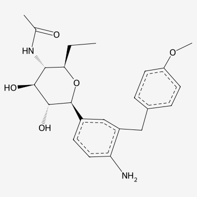 CC[C@H]1O[C@@H](c2ccc(N)c(Cc3ccc(OC)cc3)c2)[C@H](O)[C@@H](O)[C@@H]1NC(C)=O